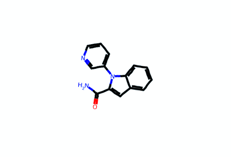 NC(=O)c1cc2ccccc2n1-c1cccnc1